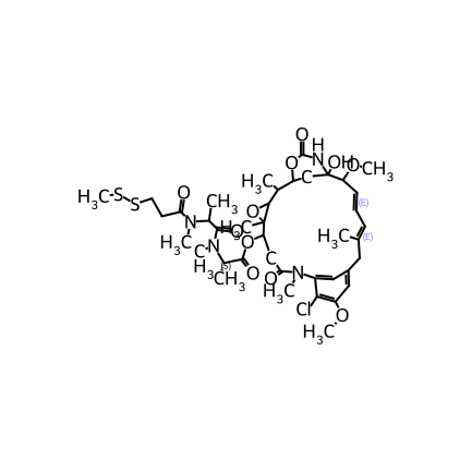 COc1cc2cc(c1Cl)N(C)C(=O)CC(OC(=O)[C@H](C)N(C)C(=O)C(C)N(C)C(=O)CCSSC)C1(C)OC1C(C)C1CC(O)(NC(=O)O1)C(OC)/C=C/C=C(\C)C2